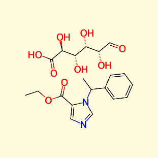 CCOC(=O)c1cncn1C(C)c1ccccc1.O=C[C@H](O)[C@@H](O)[C@H](O)[C@H](O)C(=O)O